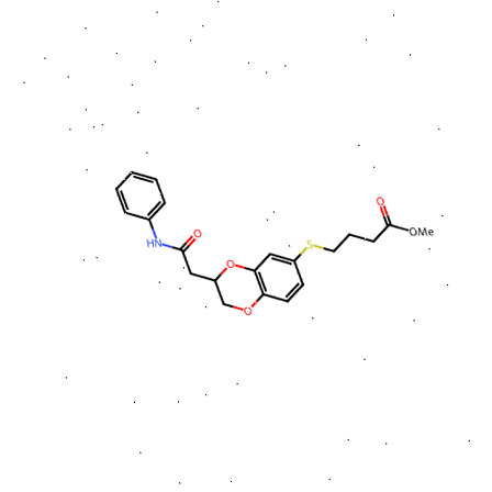 COC(=O)CCCSc1ccc2c(c1)OC(CC(=O)Nc1ccccc1)CO2